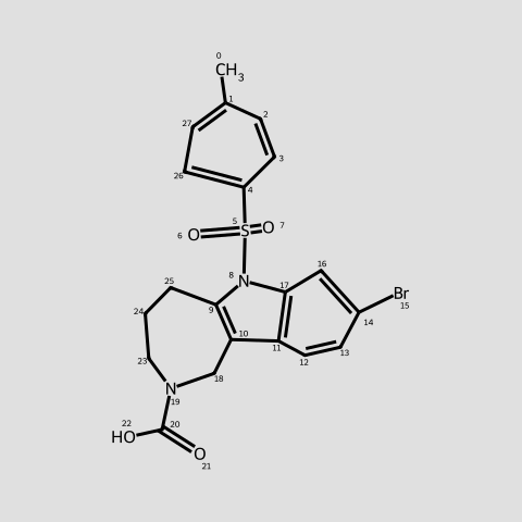 Cc1ccc(S(=O)(=O)n2c3c(c4ccc(Br)cc42)CN(C(=O)O)CCC3)cc1